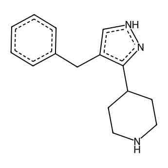 c1ccc(Cc2c[nH]nc2C2CCNCC2)cc1